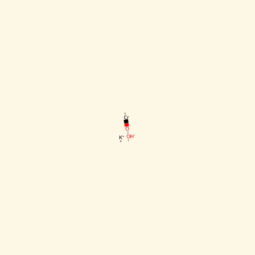 [K+].[OH-].[O]=[Cr]